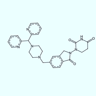 O=C1CCN(N2Cc3cc(CN4CCN(C(c5ccccn5)c5ccccn5)CC4)ccc3C2=O)C(=O)N1